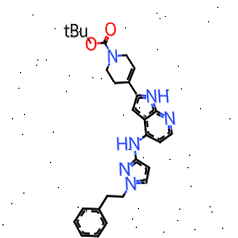 CC(C)(C)OC(=O)N1CC=C(c2cc3c(Nc4ccn(CCc5ccccc5)n4)ccnc3[nH]2)CC1